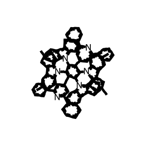 Cc1ccc2c(c1)c1cc(C)ccc1n2-c1c(-c2cc(-c3ccccc3)nc(-c3ccccc3)c2)c(-n2c3ccccc3c3ccccc32)c(-n2c3ccc(C)cc3c3cc(C)ccc32)c(-c2cc(-c3ccccc3)nc(-c3ccccc3)c2)c1-n1c2ccccc2c2ccccc21